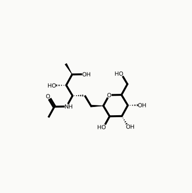 CC(=O)N[C@@H](CC[C@H]1OC(CO)[C@H](O)[C@H](O)C1O)[C@H](O)[C@@H](C)O